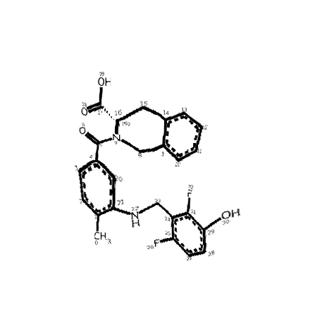 Cc1ccc(C(=O)N2Cc3ccccc3C[C@H]2C(=O)O)cc1NCc1c(F)ccc(O)c1F